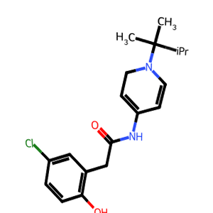 CC(C)C(C)(C)N1C=CC(NC(=O)Cc2cc(Cl)ccc2O)=CC1